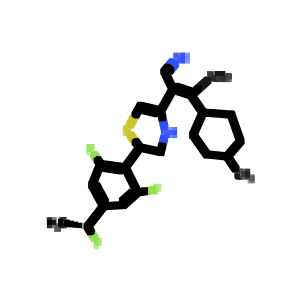 CN/C(=C(\C=N)C1=CSC(c2c(F)cc([C@@H](C)F)cc2F)CN1)C1CCC(C)CC1